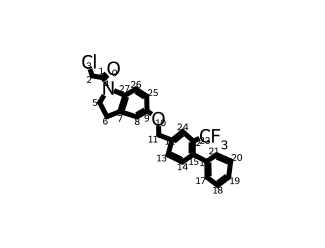 O=C(CCl)N1CCc2cc(OCc3ccc(-c4ccccc4)c(C(F)(F)F)c3)ccc21